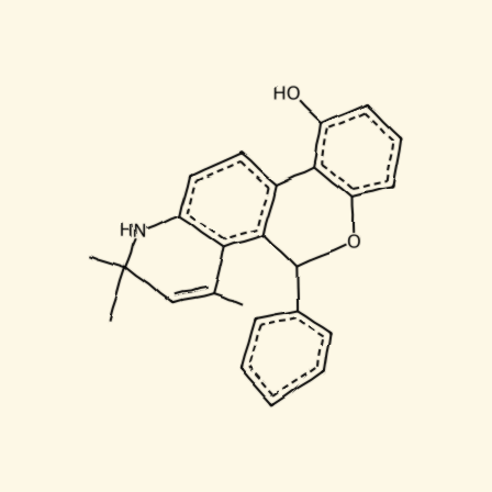 CC1=CC(C)(C)Nc2ccc3c(c21)C(c1ccccc1)Oc1cccc(O)c1-3